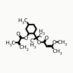 C=C(C)C(=O)OC1CC(C)CCC1C(C)(C)OC(=O)/C=C(/C)OC